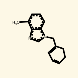 Cc1cccc2c1ncn2CC1=CC=CCC1